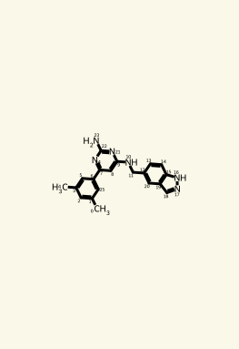 Cc1cc(C)cc(-c2cc(NCc3ccc4[nH]ncc4c3)nc(N)n2)c1